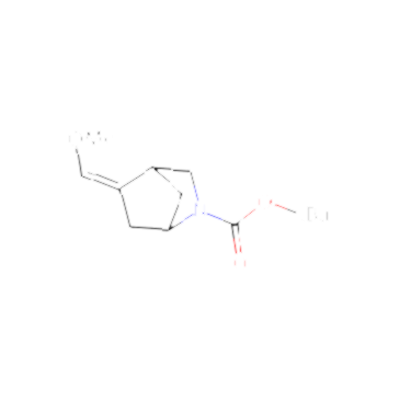 COC=C1CC2CC1CN2C(=O)OC(C)(C)C